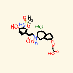 CS(=O)(=O)Nc1cc([C@@H](O)CNC2CCCc3ccc(OCC(=O)O)cc3C2)ccc1O.Cl